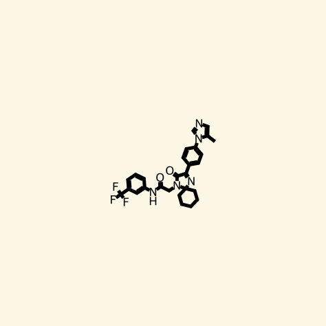 Cc1cncn1-c1ccc(C2=NC3(CCCCC3)N(CC(=O)Nc3cccc(C(F)(F)F)c3)C2=O)cc1